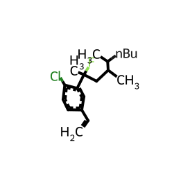 C=Cc1ccc(Cl)c(C(C)(F)CC(C)C(C)CCCC)c1